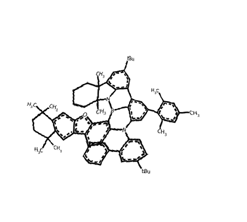 Cc1cc(C)c(-c2cc3c4c(c2)N(c2ccc(C(C)(C)C)cc2-c2ccccc2)c2ccc5c(oc6cc7c(cc65)C(C)(C)CCC7(C)C)c2B4N2c4c-3cc(C(C)(C)C)cc4C3(C)CCCCC23C)c(C)c1